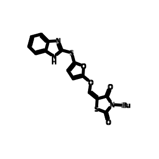 CCC(C)N1C(=O)S/C(=C/Oc2ccc(Sc3nc4ccccc4[nH]3)o2)C1=O